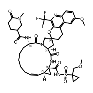 COCC1(S(=O)(=O)NC(=O)[C@@]23C[C@H]2C=CCCCCC[C@H](NC(=O)C2CCC(=O)N(C)C2)C(=O)N2C[C@@]4(CCc5c(c(C(F)(F)F)nc6ccc(OC)cc56)O4)C[C@H]2C(=O)N3)CC1